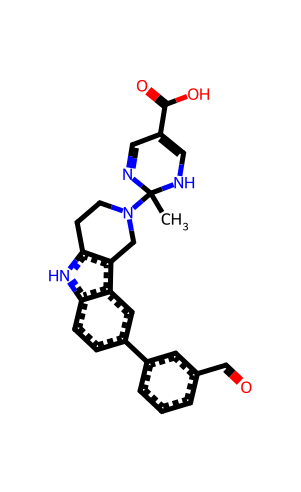 CC1(N2CCc3[nH]c4ccc(-c5cccc(C=O)c5)cc4c3C2)N=CC(C(=O)O)=CN1